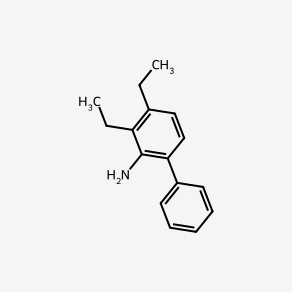 CCc1ccc(-c2ccccc2)c(N)c1CC